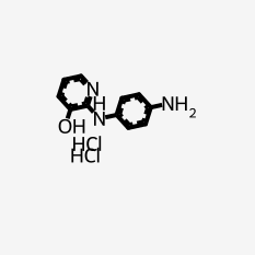 Cl.Cl.Nc1ccc(Nc2ncccc2O)cc1